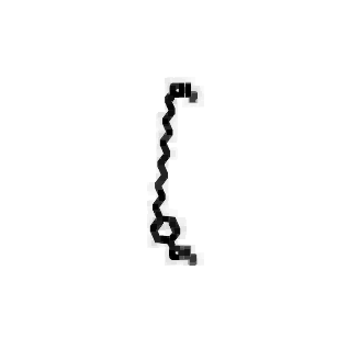 C=CCCCCCCCCCCc1ccc(C)cc1